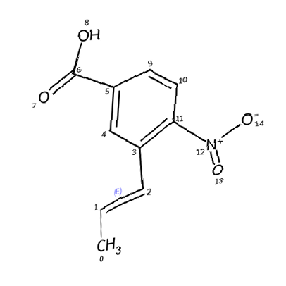 C/C=C/c1cc(C(=O)O)ccc1[N+](=O)[O-]